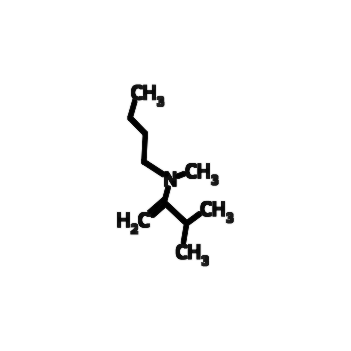 C=C(C(C)C)N(C)CCCC